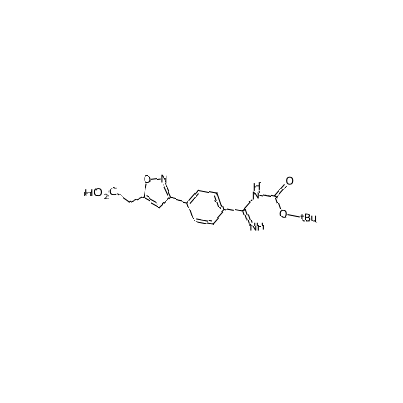 CC(C)(C)OC(=O)NC(=N)c1ccc(-c2cc(CC(=O)O)on2)cc1